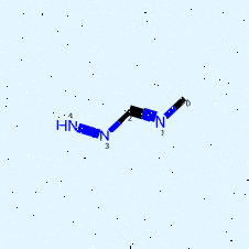 CN=CN=N